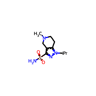 CC(C)n1nc(S(N)(=O)=O)c2c1CCN(C)C2